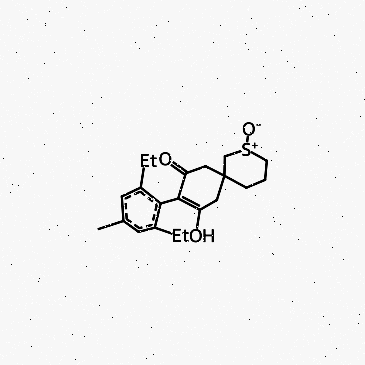 CCc1cc(C)cc(CC)c1C1=C(O)CC2(CCC[S+]([O-])C2)CC1=O